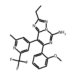 CCc1nc2c(-c3cc(C)nc(C(F)(F)F)c3)c(-c3ccccc3OC)nc(N)n2n1